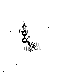 CC(C)(C)S(C)(C)CCc1cccc(-c2cnc(N3CC(=N)C3)c(F)c2)c1F